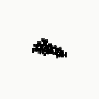 C=C(/N=C(/CN1CCNCC1)OC)C1(c2ccc(F)cc2)CC1